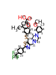 COc1cccc(N2CCN(Cc3nc(-c4ccc(C(F)(F)F)cc4)sc3CSc3ccc(OCC(=O)O)c(C(C)C)c3)CC2)c1